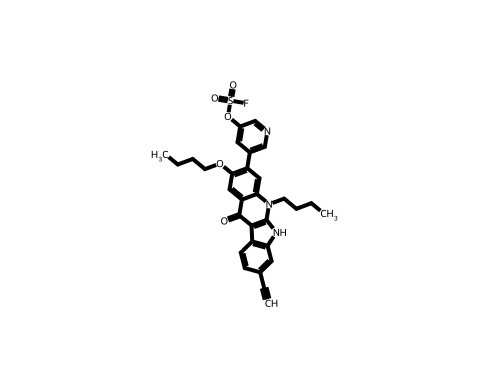 C#Cc1ccc2c(c1)[nH]c1c2c(=O)c2cc(OCCCC)c(-c3cncc(OS(=O)(=O)F)c3)cc2n1CCCC